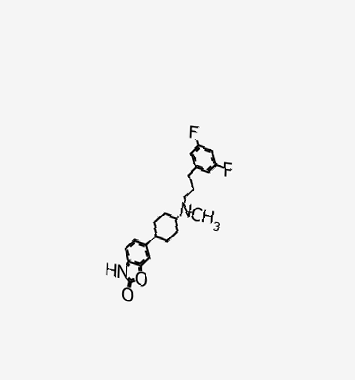 CN(CCCc1cc(F)cc(F)c1)[C@H]1CC[C@H](c2ccc3[nH]c(=O)oc3c2)CC1